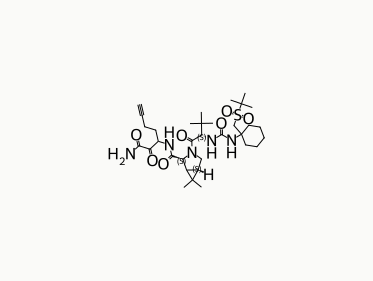 C#CCCC(NC(=O)[C@@H]1C2[C@H](CN1C(=O)[C@@H](NC(=O)NC1(CS(=O)(=O)C(C)(C)C)CCCCC1)C(C)(C)C)C2(C)C)C(=O)C(N)=O